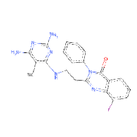 N#Cc1c(N)nc(N)nc1NCCc1nc2c(I)cccc2c(=O)n1-c1ccccc1